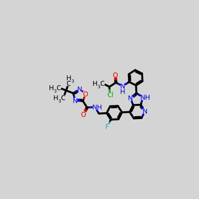 CC(Cl)C(=O)Nc1ccccc1-c1nc2c(-c3ccc(CNC(=O)c4nc(C(C)(C)C)no4)c(F)c3)ccnc2[nH]1